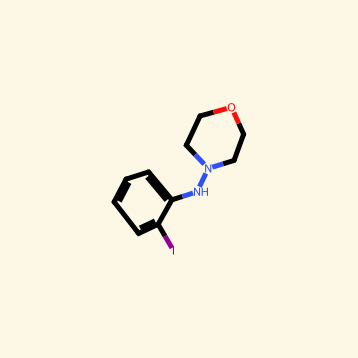 Ic1ccccc1NN1CCOCC1